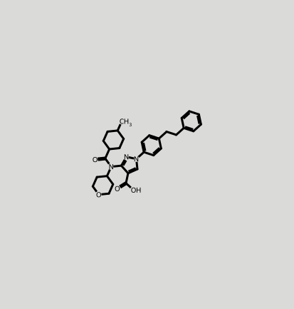 CC1CCC(C(=O)N(c2nn(-c3ccc(CCc4ccccc4)cc3)cc2C(=O)O)C2CCOCC2)CC1